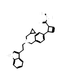 O=C(NO)C1C#CC1c1ccc(CN(CCc2c[nH]c3ccccc23)CC2CC2)cc1